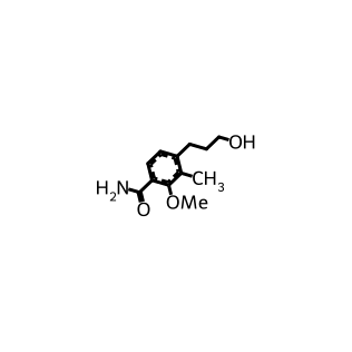 COc1c(C(N)=O)ccc(CCCO)c1C